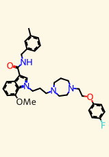 COc1cccc2c(C(=O)NCc3cccc(C)c3)cn(CCCN3CCCN(CCOc4ccc(F)cc4)CC3)c12